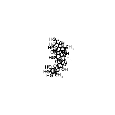 CC(=O)NC(C=O)C(OC1OC(CO)C(O)C(OC2(C(=O)O)CC(O)C(NC(C)=O)C(C(O)C(O)CO)O2)C1O)C(OC1OC(C)C(O)C(O)C1O)C(O)CO